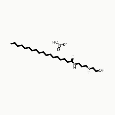 CCCCCCCCCCCCCCCCCC(=O)NCCCNCCO.O=[N+]([O-])O